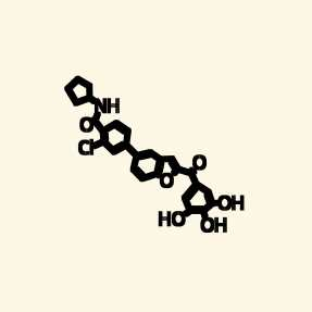 O=C(c1cc(O)c(O)c(O)c1)c1cc2cc(-c3ccc(C(=O)NC4CCCC4)c(Cl)c3)ccc2o1